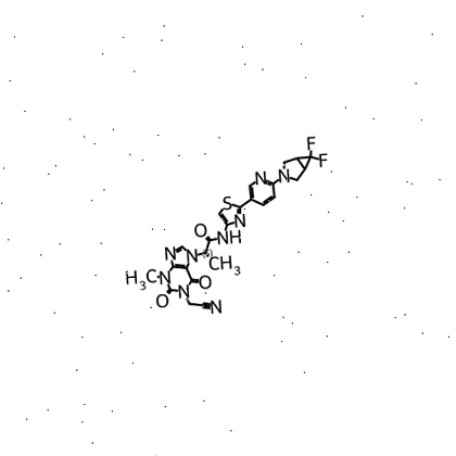 C[C@@H](C(=O)Nc1csc(-c2ccc(N3CC4C(C3)C4(F)F)nc2)n1)n1cnc2c1c(=O)n(CC#N)c(=O)n2C